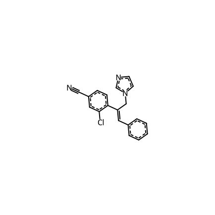 N#Cc1ccc(C(=Cc2ccccc2)Cn2ccnc2)c(Cl)c1